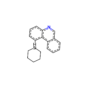 c1ccc2c(c1)cnc1cccc([SiH]3CCCCC3)c12